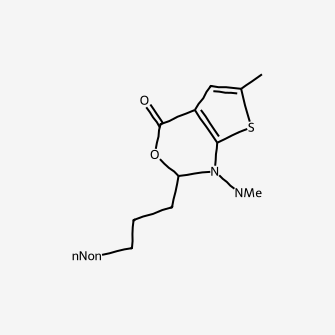 CCCCCCCCCCCCC1OC(=O)c2cc(C)sc2N1NC